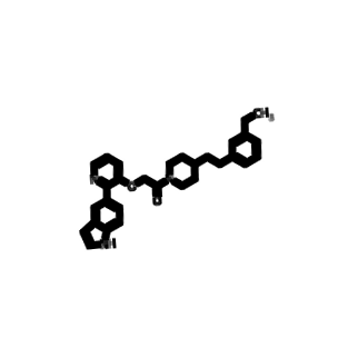 CCc1cccc(CCC2CCN(C(=O)COc3cccnc3-c3ccc4[nH]ccc4c3)CC2)c1